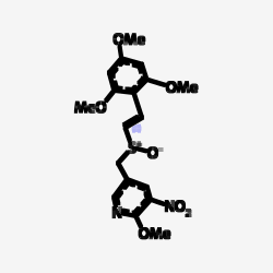 COc1cc(OC)c(/C=C/[S+]([O-])Cc2cnc(OC)c([N+](=O)[O-])c2)c(OC)c1